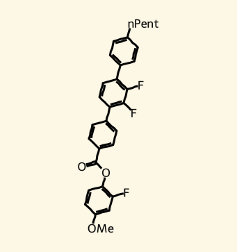 CCCCCc1ccc(-c2ccc(-c3ccc(C(=O)Oc4ccc(OC)cc4F)cc3)c(F)c2F)cc1